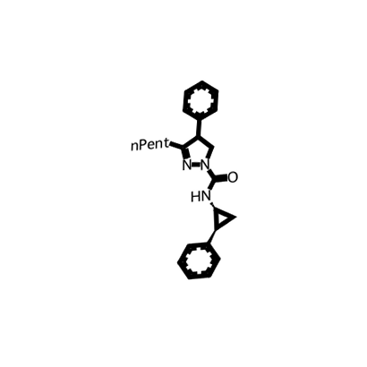 CCCCCC1=NN(C(=O)N[C@@H]2C[C@H]2c2ccccc2)CC1c1ccccc1